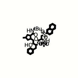 CC1CC(CC(O)C(Cc2ccccc2)NC(=O)C(CS(=O)(=O)c2ccc3ccccc3c2)NS(C)(=O)=O)C(C(=O)NC(C)(C)C)C1